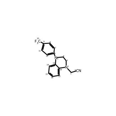 N#CCN1CCN(c2ccc(C(F)(F)F)cc2)c2ccccc21